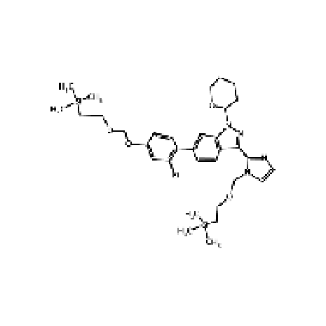 CCc1cc(OCOCC[Si](C)(C)C)ccc1-c1ccc2c(-c3nccn3COCC[Si](C)(C)C)nn(C3CCCCO3)c2c1